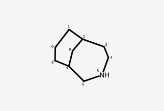 C1CC2CCNCC(C1)C2